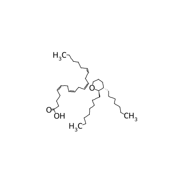 CCCCC/C=C\C/C=C\C/C=C\C/C=C\CCCC(=O)O.CCCCCCCC[C@H]1OCCC[C@@H]1CCCCCCC